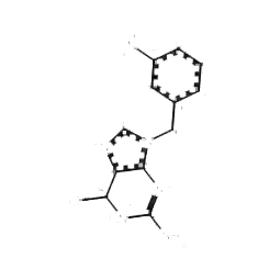 NC1=Nc2c(ncn2Cc2cccc([N+](=O)[O-])c2)C(Cl)N1